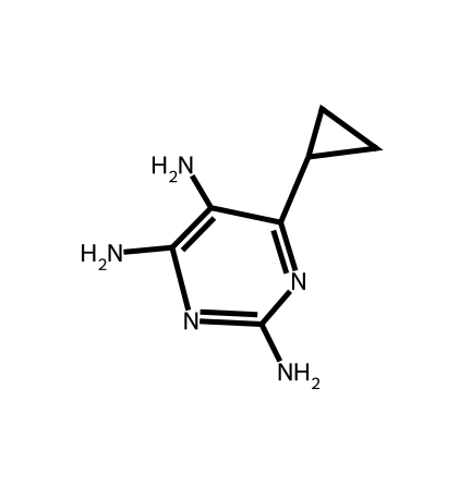 Nc1nc(N)c(N)c(C2CC2)n1